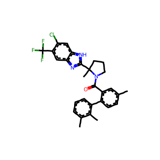 Cc1ccc(-c2cccc(C)c2C)c(C(=O)N2CCCC2(C)c2nc3cc(C(F)(F)F)c(Cl)cc3[nH]2)c1